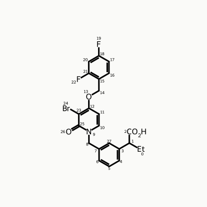 CCC(C(=O)O)c1cccc(Cn2ccc(OCc3ccc(F)cc3F)c(Br)c2=O)c1